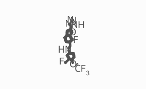 FCc1cc(NCc2ccc3cc(-c4nnn[nH]4)oc3c2F)ccc1OCC(F)(F)F